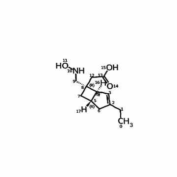 CCC1=C[C@H]2[C@H](C1)C[C@@]2(CNO)CC(=O)O